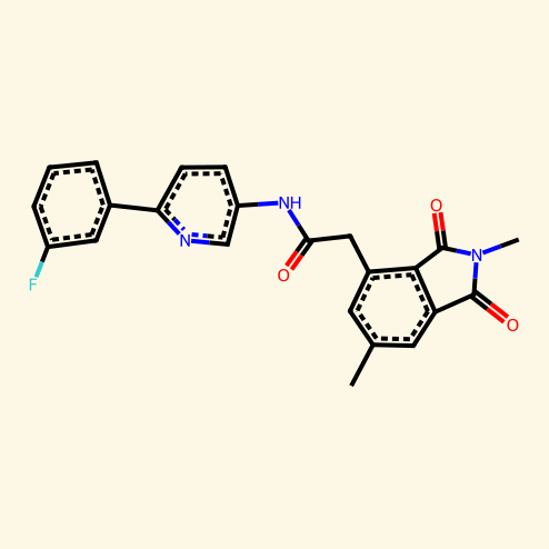 Cc1cc(CC(=O)Nc2ccc(-c3cccc(F)c3)nc2)c2c(c1)C(=O)N(C)C2=O